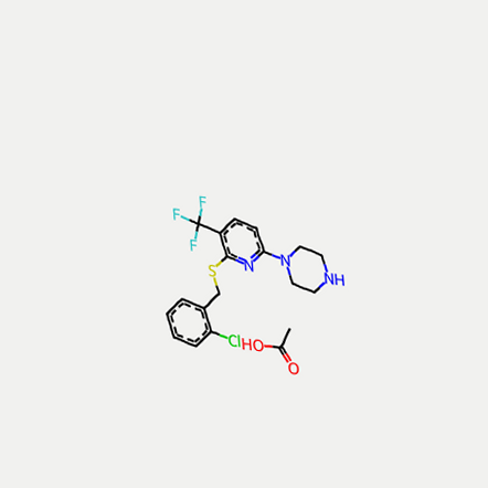 CC(=O)O.FC(F)(F)c1ccc(N2CCNCC2)nc1SCc1ccccc1Cl